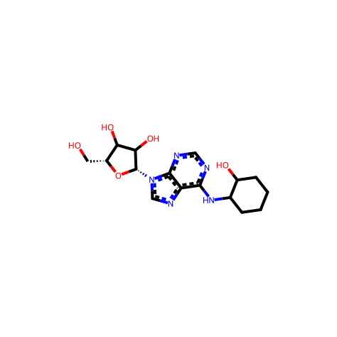 OC[C@H]1O[C@@H](n2cnc3c(NC4CCCCC4O)ncnc32)C(O)C1O